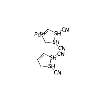 N#C[SH]1C=CC[SH]1C#N.N#C[SH]1C=CC[SH]1C#N.[Pd+2]